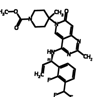 C=C[C@@H](Nc1nc(C)nc2cc(=O)n(C3(C)CCN(C(=O)OC)CC3)cc12)c1cccc(C(F)F)c1F